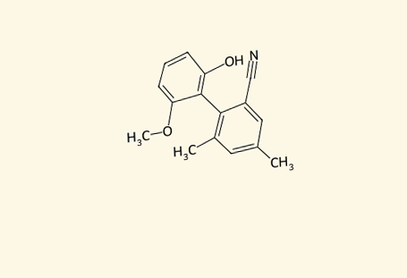 COc1cccc(O)c1-c1c(C)cc(C)cc1C#N